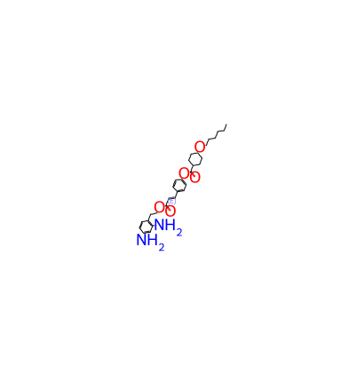 CCCCCCOC1CCC(C(=O)Oc2ccc(/C=C/C(=O)OCCc3ccc(N)cc3N)cc2)CC1